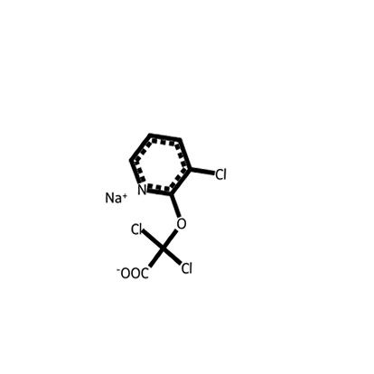 O=C([O-])C(Cl)(Cl)Oc1ncccc1Cl.[Na+]